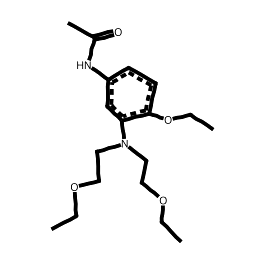 CCOCCN(CCOCC)c1cc(NC(C)=O)ccc1OCC